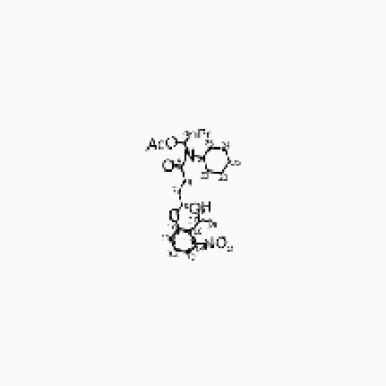 CCCC(OC(C)=O)N(C(=O)CCCOc1cccc([N+](=O)[O-])c1C(C)O)C1CCCCC1